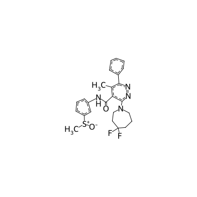 Cc1c(-c2ccccc2)nnc(N2CCCC(F)(F)CC2)c1C(=O)Nc1cccc([S+](C)[O-])c1